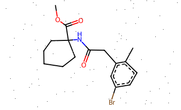 COC(=O)C1(NC(=O)Cc2cc(Br)ccc2C)CCCCC1